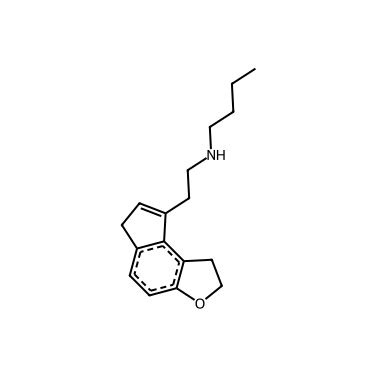 CCCCNCCC1=CCc2ccc3c(c21)CCO3